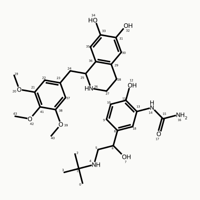 CC(C)(C)NCC(O)c1ccc(O)c(NC(N)=O)c1.COc1cc(CC2NCCc3cc(O)c(O)cc32)cc(OC)c1OC